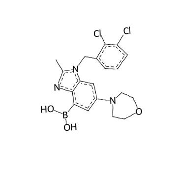 Cc1nc2c(B(O)O)cc(N3CCOCC3)cc2n1Cc1cccc(Cl)c1Cl